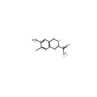 Nc1cc2c(cc1F)CN(C(=O)C(F)(F)F)CC2